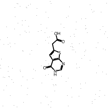 O=C(O)Cc1cc2c(=O)[nH]cnc2s1